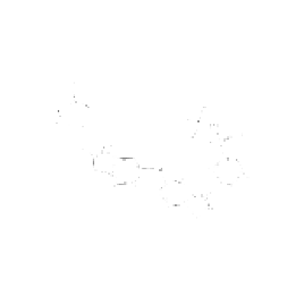 CN1CCN(Cc2nc3ccc(Nc4ncc5ccc(-c6cccc(S(=O)(=O)NC(C)(C)C)c6)n5n4)cc3[nH]2)CC1